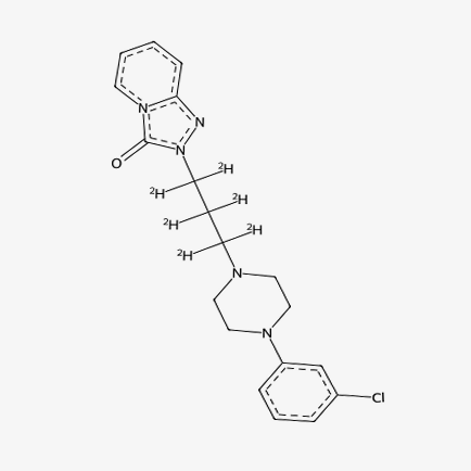 [2H]C([2H])(N1CCN(c2cccc(Cl)c2)CC1)C([2H])([2H])C([2H])([2H])n1nc2ccccn2c1=O